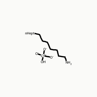 CCCCCCCCCCCCCCN.[O-][Cl+3]([O-])([O-])O